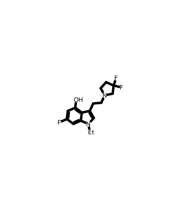 CCn1cc(CCN2CCC(F)(F)C2)c2c(O)cc(F)cc21